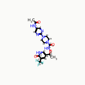 CC(=O)Nc1cnc(N2CCN(C(=O)NOC(C)c3c[nH]c(=O)c(C(F)(F)F)c3)CC2)nc1